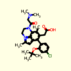 Cc1c(CC(=O)O)c(-c2ccc(Cl)cc2OC(C)(C)C)c2cc(C)n3c2c1N(C(=O)CN(C)C)CC3